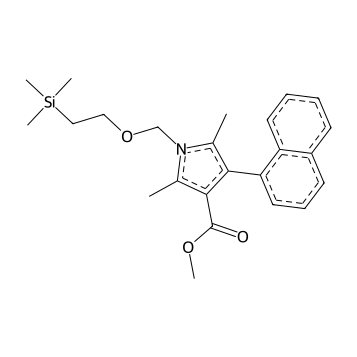 COC(=O)c1c(-c2cccc3ccccc23)c(C)n(COCC[Si](C)(C)C)c1C